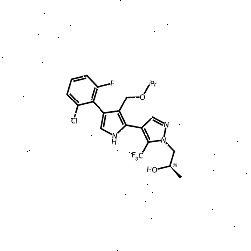 CC(C)OCc1c(-c2c(F)cccc2Cl)c[nH]c1-c1cnn(C[C@@H](C)O)c1C(F)(F)F